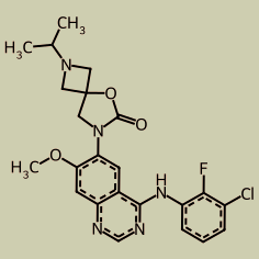 COc1cc2ncnc(Nc3cccc(Cl)c3F)c2cc1N1CC2(CN(C(C)C)C2)OC1=O